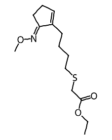 CCOC(=O)CSCCCCC1=CCCC1=NOC